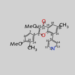 COc1ccc(-c2oc3c(-c4ccncc4)cc(C)cc3c(=O)c2OC)cc1C